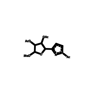 COC1OC(c2ccn(C(C)=O)n2)C(OC(C)=O)C1OC(C)=O